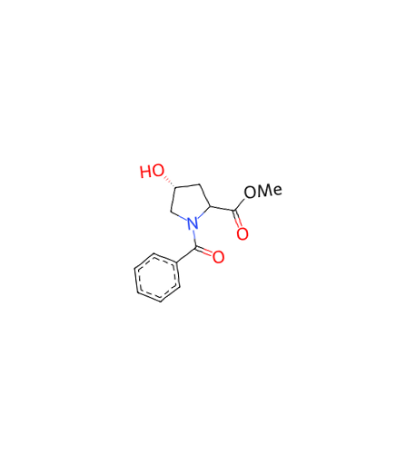 COC(=O)C1C[C@@H](O)CN1C(=O)c1ccccc1